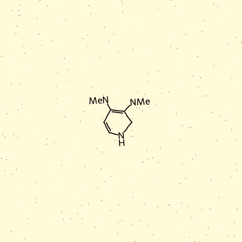 CNC1=C(NC)CNC=C1